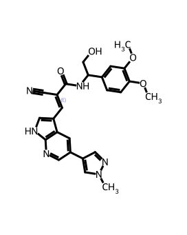 COc1ccc(C(CO)NC(=O)/C(C#N)=C/c2c[nH]c3ncc(-c4cnn(C)c4)cc23)cc1OC